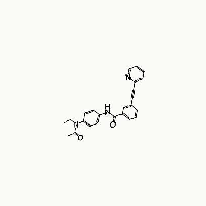 CCN(C(C)=O)c1ccc(NC(=O)c2cccc(C#Cc3ccccn3)c2)cc1